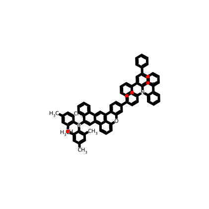 Cc1cc(C)c(B(c2c(C)cc(C)cc2C)c2cc3c4cccc5c4c(cc3c3ccccc23)-c2ccc(-c3ccc(N(c4ccccc4-c4ccccc4)c4c(F)cc(-c6ccccc6)cc4-c4ccccc4)cc3)cc2O5)c(C)c1